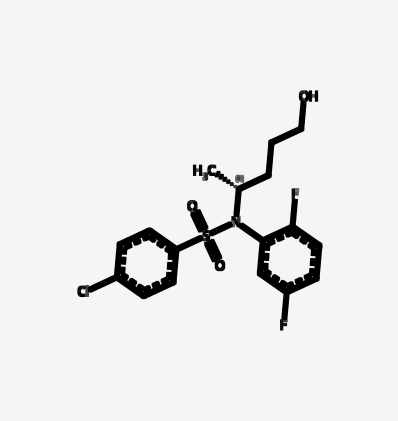 C[C@H](CCCO)N(c1cc(F)ccc1F)S(=O)(=O)c1ccc(Cl)cc1